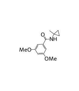 COc1cc(OC)cc(C(=O)NC2(C)CC2)c1